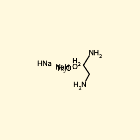 NCCN.O.O.[NaH].[NaH]